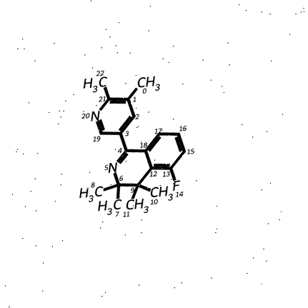 Cc1cc(C2=NC(C)(C)C(C)(C)c3c(F)cccc32)cnc1C